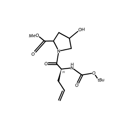 C=CC[C@H](NC(=O)OC(C)(C)C)C(=O)N1CC(O)CC1C(=O)OC